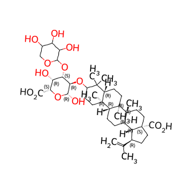 C=C(C)[C@@H]1CC[C@]2(C(=O)O)CC[C@]3(C)[C@H](CC[C@@H]4[C@@]5(C)CCC(O[C@@H]6[C@@H](OC7OCC(O)C(O)C7O)[C@@H](O)[C@@H](C(=O)O)O[C@H]6O)C(C)(C)[C@@H]5CC[C@]43C)[C@@H]12